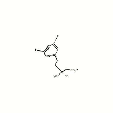 CC(C)[C@](O)(CCc1cc(F)cc(F)c1)CC(=O)O